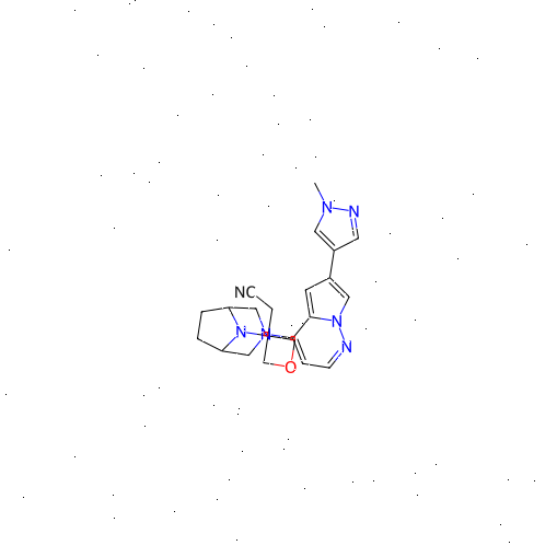 Cn1cc(-c2cc3c(N4CC5CCC(C4)N5C4(CC#N)COC4)ccnn3c2)cn1